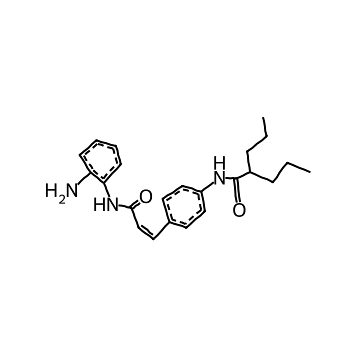 CCCC(CCC)C(=O)Nc1ccc(/C=C\C(=O)Nc2ccccc2N)cc1